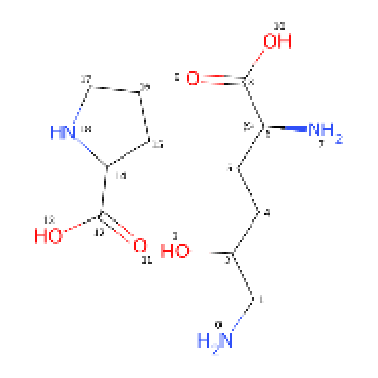 NCC(O)CC[C@H](N)C(=O)O.O=C(O)C1CCCN1